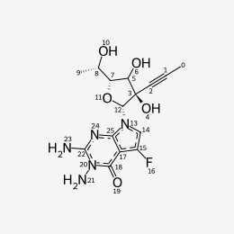 CC#C[C@@]1(O)C(O)[C@@H]([C@H](C)O)O[C@H]1n1cc(F)c2c(=O)n(N)c(N)nc21